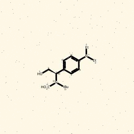 CCN(CC)c1ccc([C@H](CO)N(C(=O)O)C(C)(C)C)cc1